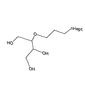 CCCCCCCCCCOC(CO)C(O)CO